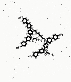 C=CC(=O)OC1(c2ccc(C3(OCCCCCCCCOC4(c5ccc(C6(OC(=O)C=C)CCC(C7CCC(CCC)CC7)CC6)cc5)CCC(C5CCC(CCC)CC5)CC4)CCC(C4CCC(CCC)CC4)CC3)cc2)CCC(C2CCC(CCC)CC2)CC1